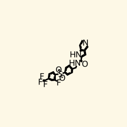 O=C(NCc1ccc(S(=O)(=O)c2ccc(C(F)(F)F)cc2F)cc1)c1cc2cnccc2[nH]1